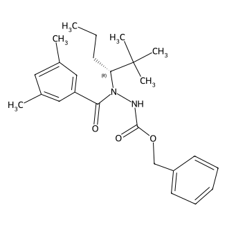 CCC[C@@H](N(NC(=O)OCc1ccccc1)C(=O)c1cc(C)cc(C)c1)C(C)(C)C